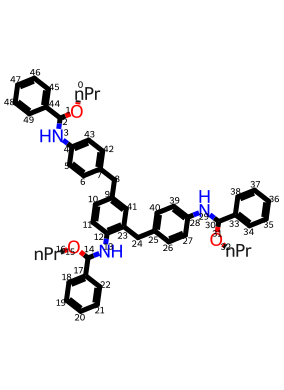 CCCOC(Nc1ccc(Cc2ccc(NC(OCCC)c3ccccc3)c(Cc3ccc(NC(OCCC)c4ccccc4)cc3)c2)cc1)c1ccccc1